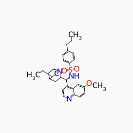 CCCc1ccc(S(=O)(=O)N[C@@H](c2ccnc3ccc(OC)cc23)C2CC3CC[N@]2CC3CC)cc1